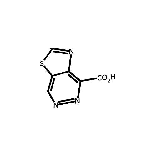 O=C(O)c1nncc2s[c]nc12